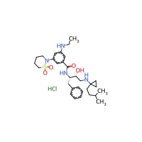 CCNc1cc(C(=O)N[C@@H](Cc2ccccc2)[C@H](O)CNC2(CCC(C)C)CC2)cc(N2CCCCS2(=O)=O)c1.Cl